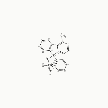 Cc1cccc(S(O[Cl+3]([O-])([O-])[O-])(c2ccccc2)c2ccccc2)c1